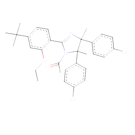 CCOc1cc(C(C)(C)C)ccc1C1=NC(C)(c2ccc(Cl)cc2)C(C)(c2ccc(Cl)cc2)N1C(=O)Cl